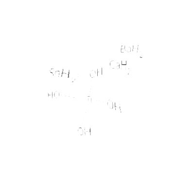 [BaH2].[CaH2].[OH][Ti]([OH])([OH])[OH].[SnH2]